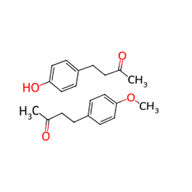 CC(=O)CCc1ccc(O)cc1.COc1ccc(CCC(C)=O)cc1